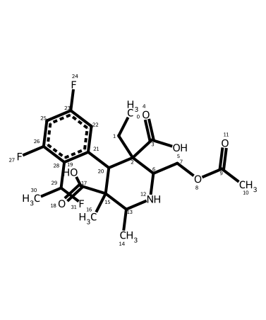 CCC1(C(=O)O)C(COC(C)=O)NC(C)C(C)(C(=O)O)C1c1cc(F)cc(F)c1C(C)F